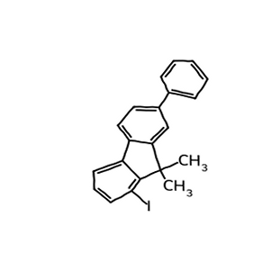 CC1(C)c2cc(-c3ccccc3)ccc2-c2cccc(I)c21